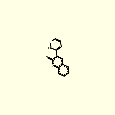 O=c1oc2ccccc2cc1C1=CC=CON1